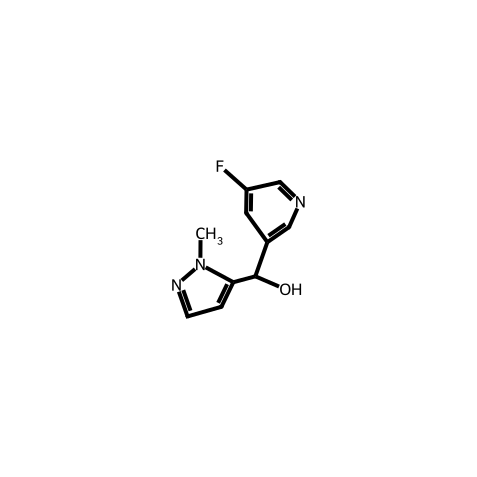 Cn1nccc1C(O)c1cncc(F)c1